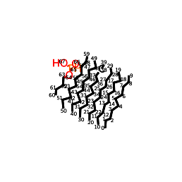 CCCCCCCCCC.CCCCCCCCCC.CCCCCCCCCC.CCCCCCCCCC.CCCCCCCCCC.CCCCCCCCCC.CCCCO[PH](=O)O